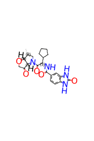 C[C@@H]1CN(C(=O)[C@@H](NC(=O)c2ccc3[nH]c(=O)[nH]c3c2)C2CCCC2)[C@@H]2C(=O)CO[C@H]12